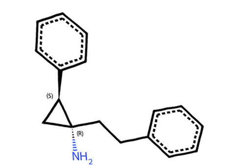 N[C@]1(CCc2ccccc2)C[C@H]1c1ccccc1